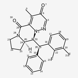 Cc1c2n(ncc1=O)[C@@H]([C@H](c1ccccc1)c1cccc(F)c1F)[C@H]1CCCN1C2=O